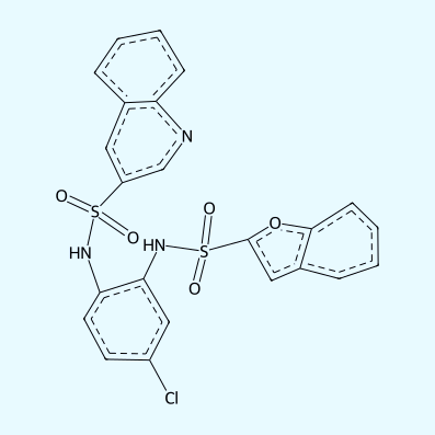 O=S(=O)(Nc1ccc(Cl)cc1NS(=O)(=O)c1cc2ccccc2o1)c1cnc2ccccc2c1